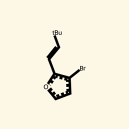 CC(C)(C)/C=C/c1occc1Br